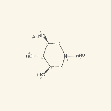 CCCCN1C[C@@H](O)[C@H](O)[C@@H](NC(C)=O)C1